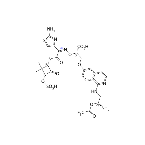 CC1(C)[C@H](NC(=O)/C(=N\O[C@@H](COc2ccc3c(NC[C@@H](N)OC(=O)C(F)(F)F)nccc3c2)C(=O)O)c2csc(N)n2)C(=O)N1OS(=O)(=O)O